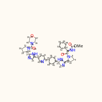 COC(=O)N[C@@H](C(=O)N1CCC[C@H]1C1=NCC(c2ccc(-c3ccc(-c4cnc([C@@H]5CCCN5C(=O)N5CCOCC5)[nH]4)cn3)cc2)N1)c1ccccc1